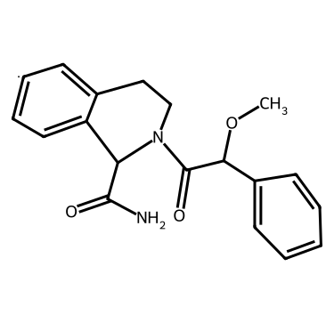 COC(C(=O)N1CCc2c[c]ccc2C1C(N)=O)c1ccccc1